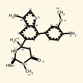 Bc1ccc(-c2cc([C@]3(C)CC(=O)N(C)C(=N)N3)cc3c(B)csc23)cc1OC